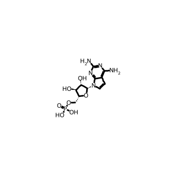 Nc1nc(N)c2ccn([C@@H]3O[C@H](COP(=O)(O)O)[C@@H](O)[C@@H]3O)c2n1